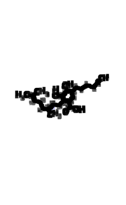 C#CCCCCc1cc(C(=O)O)c(C/C=C(\C)CCC=C(C)C)c(O)c1O